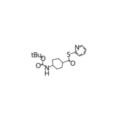 CC(C)(C)OC(=O)NC1CCC(C(=O)Sc2ccccn2)CC1